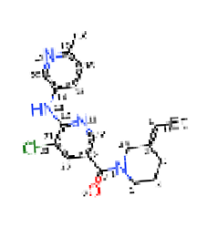 CCC=C1CCCN(C(=O)c2cnc(Nc3ccc(C)nc3)c(Cl)c2)C1